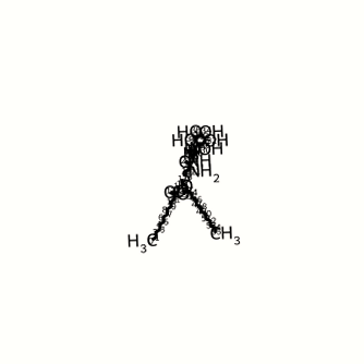 CCCCCCCCCCCCC(=O)OC[C@H](CSC[C@@H](N)C(=O)Nc1cn(C2[C@H](O)[C@H](O)[C@@H](O)[C@H](O)[C@H]2O)nn1)OC(=O)CCCCCCCCCCCC